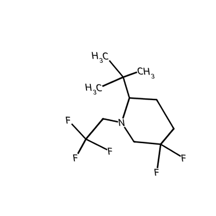 CC(C)(C)C1CCC(F)(F)CN1CC(F)(F)F